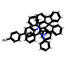 CC(C)(C)c1ccc(-c2ccc(N(c3ccccc3)c3cccc4c3C3(c5ccccc5-4)c4ccccc4-c4c3c(-c3ccccc3)c(-c3ccccc3)n4-c3ccccc3)cc2)cc1